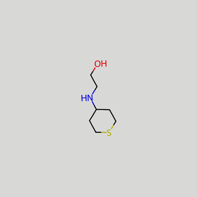 OCCNC1CCSCC1